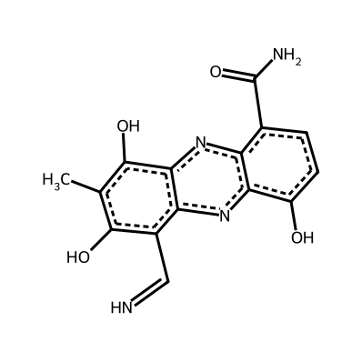 Cc1c(O)c(C=N)c2nc3c(O)ccc(C(N)=O)c3nc2c1O